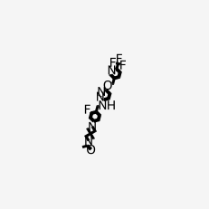 CC(=O)N1CC2(C1)CN(c1ccc(CNc3ccc(OCc4ccc(C(F)(F)F)nc4)nn3)c(F)c1)C2